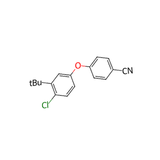 CC(C)(C)c1cc(Oc2ccc(C#N)cc2)ccc1Cl